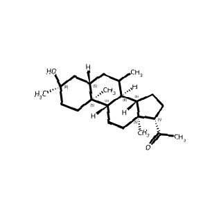 CC(=O)[C@H]1CC[C@H]2[C@@H]3C(C)C[C@H]4C[C@](C)(O)CC[C@]4(C)[C@H]3CC[C@]12C